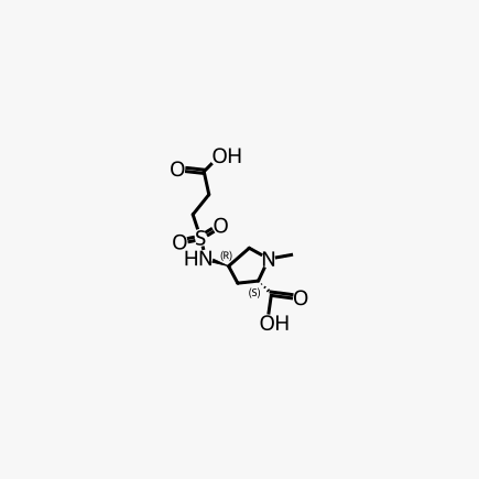 CN1C[C@H](NS(=O)(=O)CCC(=O)O)C[C@H]1C(=O)O